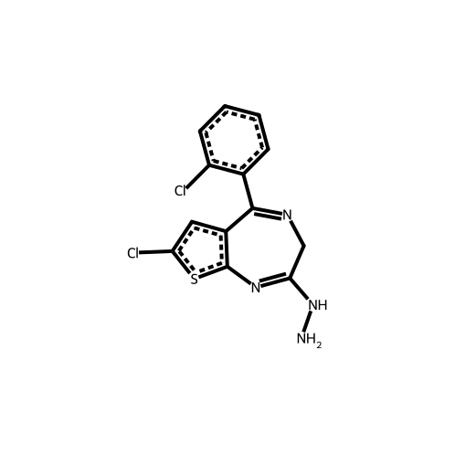 NNC1=Nc2sc(Cl)cc2C(c2ccccc2Cl)=NC1